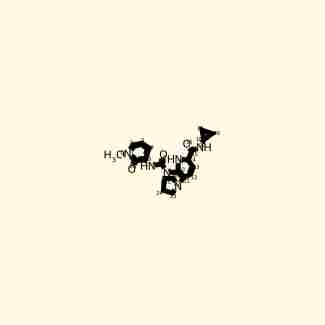 Cn1cccc(NC(=O)N2C3=C(C=CC(C(=O)NC4CC4)N3)N3CCC2C3)c1=O